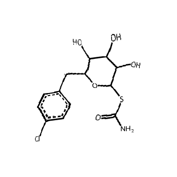 NC(=O)SC1OC([CH]c2ccc(Cl)cc2)C(O)C(O)C1O